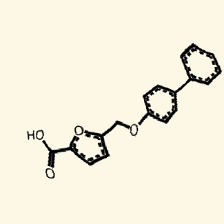 O=C(O)c1ccc(COc2ccc(-c3ccccc3)cc2)o1